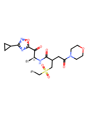 CC[C@H](NC(=O)C(CC(=O)N1CCOCC1)CS(=O)(=O)CC(C)C)C(=O)c1nc(C2CC2)no1